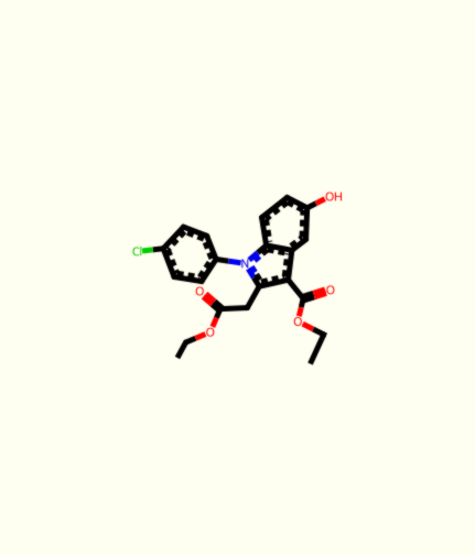 CCOC(=O)Cc1c(C(=O)OCC)c2cc(O)ccc2n1-c1ccc(Cl)cc1